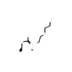 C=O.N#CNC(=N)N.NCCNCCN